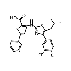 CC(C)Cc1sc(Nc2cc(-c3cccnc3)sc2C(=O)O)nc1-c1ccc(Cl)c(Cl)c1